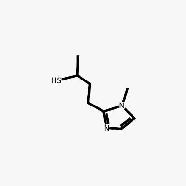 [CH2]C(S)CCc1nccn1C